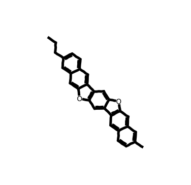 CCCc1ccc2cc3c(cc2c1)oc1cc2c(cc13)oc1cc3cc(C)ccc3cc12